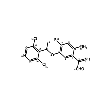 CC(Oc1cc(C(=N)C=O)c(N)cc1F)c1c(Cl)cncc1Cl